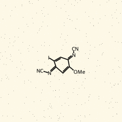 COC1=CC(=NC#N)C(I)=CC1=NC#N